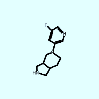 Fc1cncc(N2CCC3CNCC3C2)c1